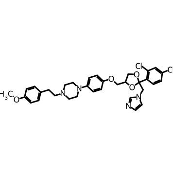 COc1ccc(CCN2CCN(c3ccc(OCC4COC(Cn5ccnc5)(c5ccc(Cl)cc5Cl)O4)cc3)CC2)cc1